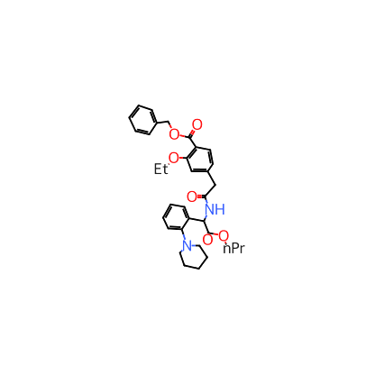 CCCOC(=O)C(NC(=O)Cc1ccc(C(=O)OCc2ccccc2)c(OCC)c1)c1ccccc1N1CCCCC1